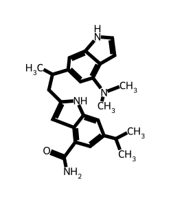 CC(C)c1cc(C(N)=O)c2cc(CC(C)c3cc(N(C)C)c4cc[nH]c4c3)[nH]c2c1